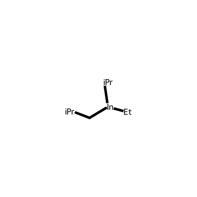 C[CH2][In]([CH2]C(C)C)[CH](C)C